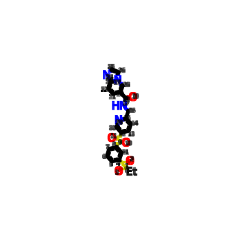 CCS(=O)(=O)c1cccc(S(=O)(=O)c2ccc(CNC(=O)c3ccc4nccn4c3)nc2)c1